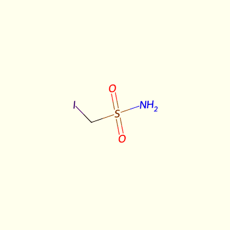 NS(=O)(=O)CI